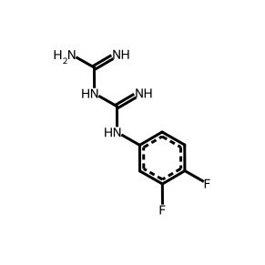 N=C(N)NC(=N)Nc1ccc(F)c(F)c1